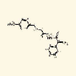 C=C(C(=O)NNC(=O)COCc1ccc(OC)cc1)c1cncnc1